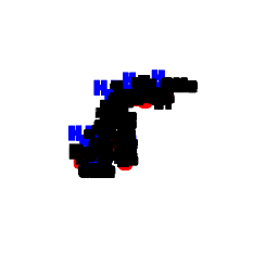 COC(=O)N[C@H](C(=O)N1CCC[C@H]1C(=O)Nc1ccc([C@H]2CC[C@H](c3ccc(NC(=O)[C@@H]4CCCN4C(=O)[C@@H](NC(=O)OC)C(C)C)c(N)c3)N2c2cccc(-c3ccc(N4CCOCC4)nc3)c2)cc1N)C(C)C